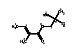 CC=C(C)C(=O)OCC(C)(CC)CCCC